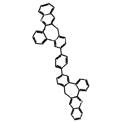 c1ccc2c(c1)-c1cc(-c3ccc(-c4ccc5c(c4)-c4ccccc4-c4nc6ccccc6cc4C5)cc3)ccc1Cc1cc3ccccc3nc1-2